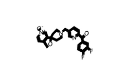 O=C(c1ccc(F)c(F)c1)c1ccc(CN2CCC3(CC2)OCc2cc[n+]([O-])cc23)cn1